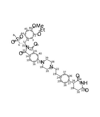 CCOc1cc([C@@H](CS(C)(=O)=O)N2C(=O)c3ccc(N4CCN(CCc5ccc(C6CCC(=O)NC6=O)cc5)CC4)cc3C2=O)ccc1OC